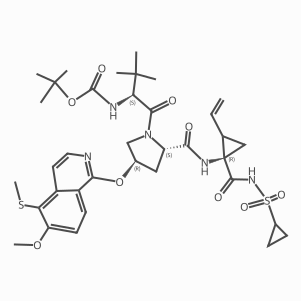 C=CC1C[C@]1(NC(=O)[C@@H]1C[C@@H](Oc2nccc3c(SC)c(OC)ccc23)CN1C(=O)[C@@H](NC(=O)OC(C)(C)C)C(C)(C)C)C(=O)NS(=O)(=O)C1CC1